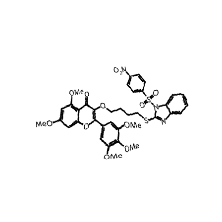 COc1cc(OC)c2c(=O)c(OCCCCSc3nc4ccccc4n3S(=O)(=O)c3ccc([N+](=O)[O-])cc3)c(-c3cc(OC)c(OC)c(OC)c3)oc2c1